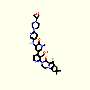 Cn1cc(-c2ccnc(N3CCn4c5c(c(F)c4C3=O)CC(C)(C)C5)c2CO)cc(Nc2ccc(N3CCN(C4COC4)CC3)nc2)c1=O